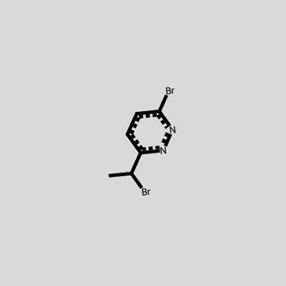 CC(Br)c1ccc(Br)nn1